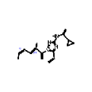 C=Cc1nc(NC(=C)C2CC2)nn1C(=C)/C(C)=C/C=C\C